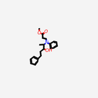 COC(=O)CCN(c1ccccc1)C(C)C(O)CCc1ccccc1